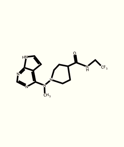 CN(c1ncnc2[nH]ccc12)N1CCC(C(=O)NCC(F)(F)F)CC1